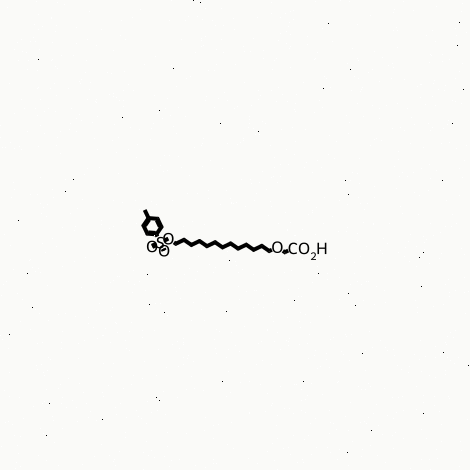 Cc1ccc(S(=O)(=O)OCCCCCCCCCCCCCOCC(=O)O)cc1